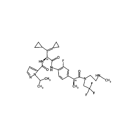 CNCCN(CC(F)(F)F)C(=O)[C@@H](C)c1ccc(NC(=O)[C@@H](NC(=O)c2ccnn2C(C)C)C(=C2CC2)C2CC2)c(F)c1